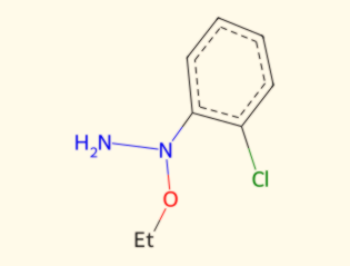 CCON(N)c1ccccc1Cl